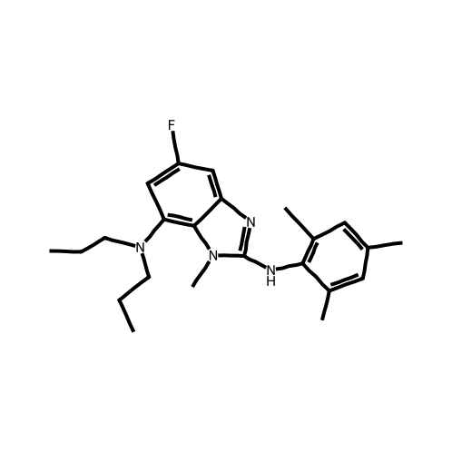 CCCN(CCC)c1cc(F)cc2nc(Nc3c(C)cc(C)cc3C)n(C)c12